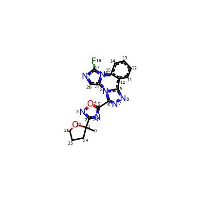 CC1(c2noc(-c3nnc4c5ccccc5n5c(F)ncc5n34)n2)CCCO1